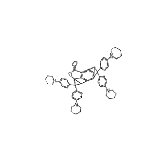 O=C1OC23c4c1c1c5c(c4C2C3(c2ccc(N3CCCCC3)cc2)c2ccc(N3CCCCC3)cc2)C(c2ccc(N3CCCCC3)cc2)(c2ccc(N3CCCCC3)cc2)C15